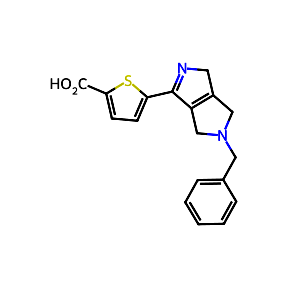 O=C(O)c1ccc(C2=NCC3=C2CN(Cc2ccccc2)C3)s1